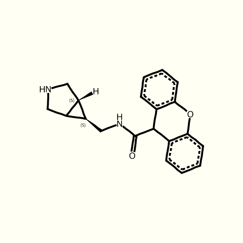 O=C(NC[C@H]1C2CNC[C@@H]21)C1c2ccccc2Oc2ccccc21